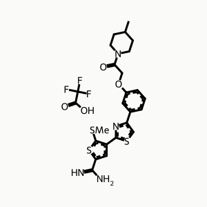 CSc1sc(C(=N)N)cc1-c1nc(-c2cccc(OCC(=O)N3CCC(C)CC3)c2)cs1.O=C(O)C(F)(F)F